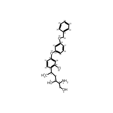 CC(CC(O)C(N)CO)c1ccc(Oc2cccc(OCc3ccccc3)c2)cc1Cl